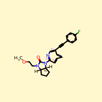 COCCN1C(=O)N(C2=N/C=C(C#Cc3ccc(F)cc3)\C=C\C=C\2)[C@@H]2CCC[C@@H]21